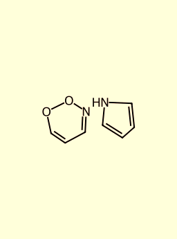 C1=COON=C1.c1cc[nH]c1